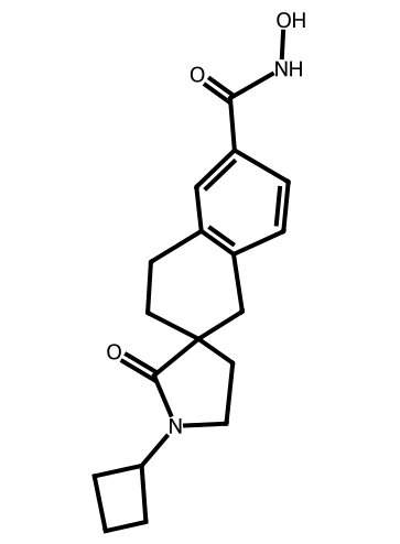 O=C(NO)c1ccc2c(c1)CCC1(CCN(C3CCC3)C1=O)C2